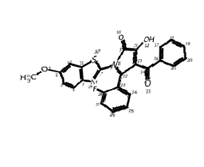 COc1ccc2nc(N3C(=O)C(O)=C(C(=O)c4ccccc4)C3c3ccccc3F)sc2c1